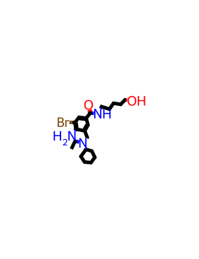 CCN(Cc1cc(C(=O)NCCCCCO)cc(Br)c1N)C1CCCCC1